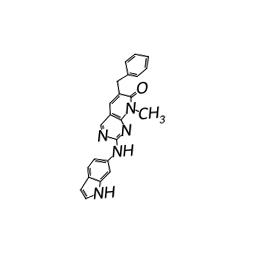 Cn1c(=O)c(Cc2ccccc2)cc2cnc(Nc3ccc4cc[nH]c4c3)nc21